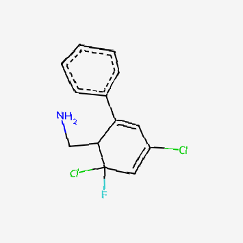 NCC1C(c2ccccc2)=CC(Cl)=CC1(F)Cl